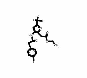 CCOC(=O)Cc1sc(C(F)(F)F)cc1NC(=O)Cc1ccc(Cl)cc1